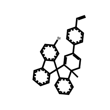 C=Cc1ccc(C2=CCC3(C)C(=C2)C2(c4ccccc4-c4ccc(Br)cc42)c2ccccc23)cc1